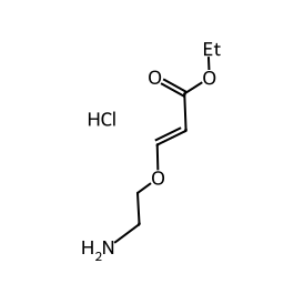 CCOC(=O)C=COCCN.Cl